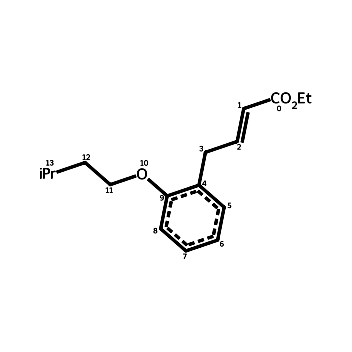 CCOC(=O)C=CCc1ccccc1OCCC(C)C